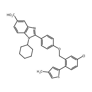 Cc1csc(-c2ccc(Cl)cc2COc2ccc(-c3nc4cc(C(=O)O)ccc4n3C3CCCCC3)cc2)c1